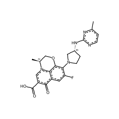 Cc1ccnc(N[C@@H]2CCN(c3c(F)cc4c(=O)c(C(=O)O)cn5c4c3OC[C@@H]5C)C2)n1